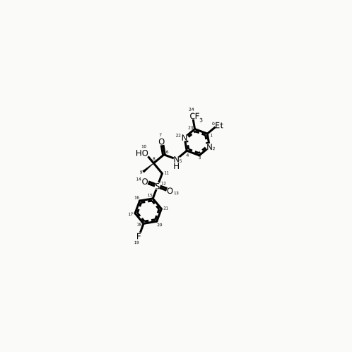 CCc1ncc(NC(=O)[C@@](C)(O)CS(=O)(=O)c2ccc(F)cc2)nc1C(F)(F)F